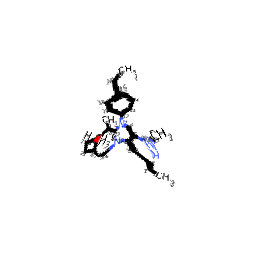 C/C=C/C=C(\C(=C/N(CC(C)C)c1ccc(CC)cc1)NC)N(C)CC1CCC1